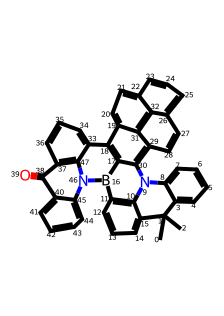 CC1(C)c2ccccc2N2c3c(cccc31)B1c3c(c4ccc5cccc6ccc(c32)c4c56)-c2cccc3c(=O)c4ccccc4n1c23